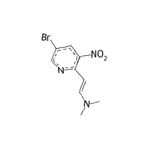 CN(C)/C=C/c1ncc(Br)cc1[N+](=O)[O-]